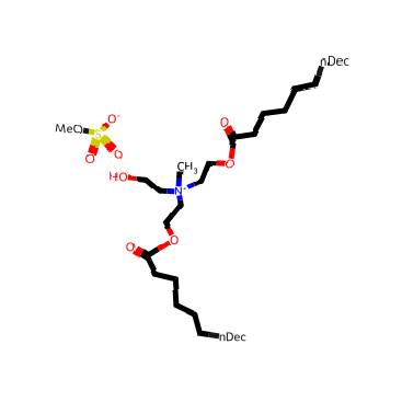 CCCCCCCCCCCCCCCC(=O)OCC[N+](C)(CCO)CCOC(=O)CCCCCCCCCCCCCCC.COS(=O)(=O)[O-]